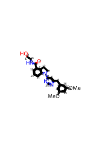 COc1cc(Cc2cc(N3CCc4c(C(=O)NCCO)cccc43)ncn2)cc(OC)c1